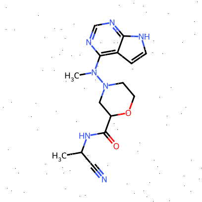 CC(C#N)NC(=O)C1CN(N(C)c2ncnc3[nH]ccc23)CCO1